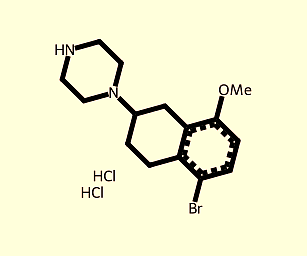 COc1ccc(Br)c2c1CC(N1CCNCC1)CC2.Cl.Cl